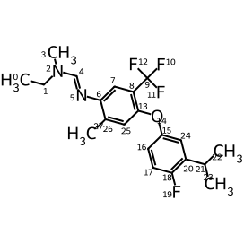 CCN(C)C=Nc1cc(C(F)(F)F)c(Oc2ccc(F)c(C(C)C)c2)cc1C